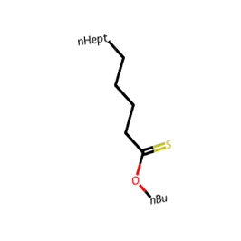 CCCCCCCCCCCC(=S)OCCCC